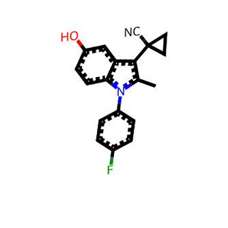 Cc1c(C2(C#N)CC2)c2cc(O)ccc2n1-c1ccc(F)cc1